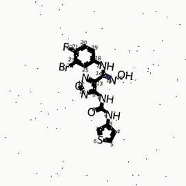 O=C(Nc1ccsc1)Nc1nonc1/C(=N/O)Nc1ccc(F)c(Br)c1